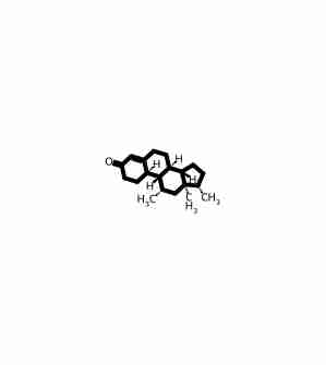 C[C@H]1C[C@]2(C)[C@@H](C)CC[C@H]2[C@@H]2CCC3=CC(=O)CC[C@@H]3[C@H]21